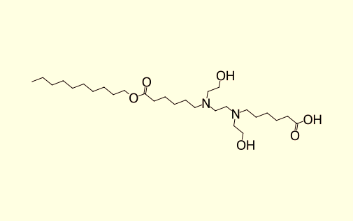 CCCCCCCCCCOC(=O)CCCCCN(CCO)CCN(CCO)CCCCCC(=O)O